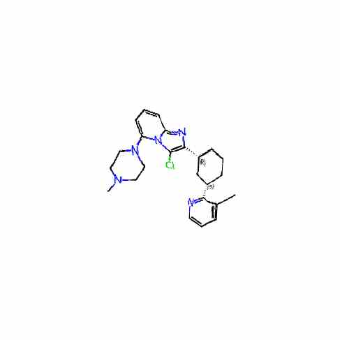 Cc1cccnc1[C@H]1CCC[C@@H](c2nc3cccc(N4CCN(C)CC4)n3c2Cl)C1